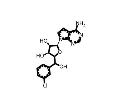 Nc1ncnc2c1ccn2[C@@H]1OC(C(O)c2cccc(Cl)c2)[C@@H](O)[C@H]1O